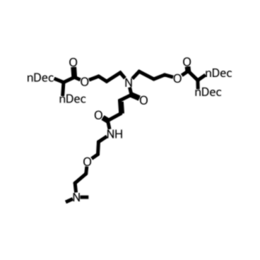 CCCCCCCCCCC(CCCCCCCCCC)C(=O)OCCCN(CCCOC(=O)C(CCCCCCCCCC)CCCCCCCCCC)C(=O)C=CC(=O)NCCOCCN(C)C